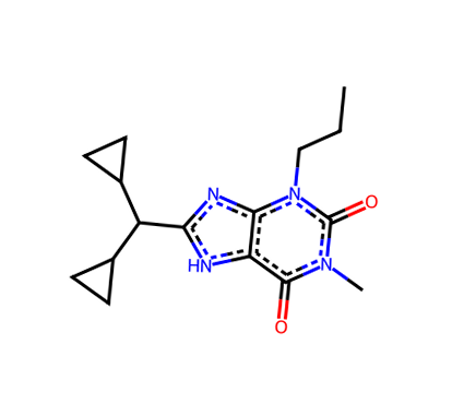 CCCn1c(=O)n(C)c(=O)c2[nH]c(C(C3CC3)C3CC3)nc21